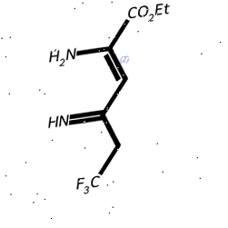 CCOC(=O)/C(N)=C/C(=N)CC(F)(F)F